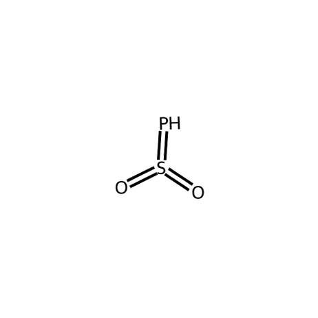 O=S(=O)=P